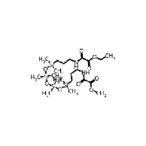 CCOC(=O)C(=O)NCCC[Si](C)(C)O[Si](C)(C)O[Si](C)(C)O[Si](C)(C)CCCNC(=O)C(=O)OC